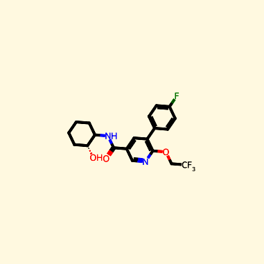 O=C(NC1CCCC[C@H]1O)c1cnc(OCC(F)(F)F)c(-c2ccc(F)cc2)c1